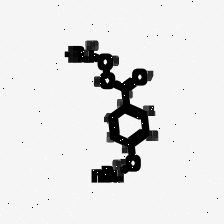 CCCCOc1ccc(C(=O)OO[C](C)CC)cc1